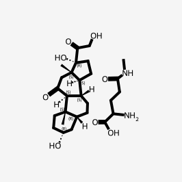 CNC(=O)CCC(N)C(=O)O.C[C@]12CC[C@@H](O)C[C@H]1CC[C@@H]1[C@@H]2C(=O)C[C@@]2(C)[C@H]1CC[C@]2(O)C(=O)CO